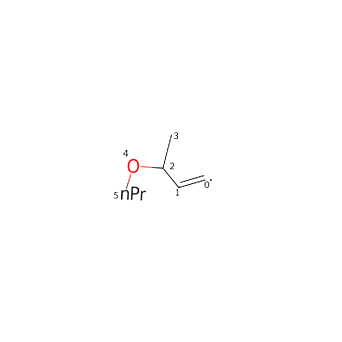 [CH]=CC(C)OCCC